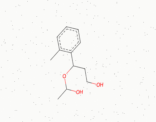 Cc1ccccc1C(CCO)OC(C)O